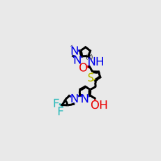 Cn1cnc2c1CC[C@H]2NC(=O)c1ccc(Cc2ccc(N3CC4C(C3)C4(F)F)nc2CO)s1